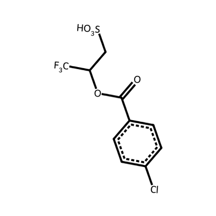 O=C(OC(CS(=O)(=O)O)C(F)(F)F)c1ccc(Cl)cc1